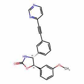 COc1cccc([C@H]2OC(=O)N[C@@H]2c2cccc(C#Cc3ccncn3)c2)c1